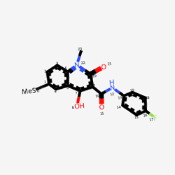 CSc1ccc2c(c1)c(O)c(C(=O)Nc1ccc(F)cc1)c(=O)n2C